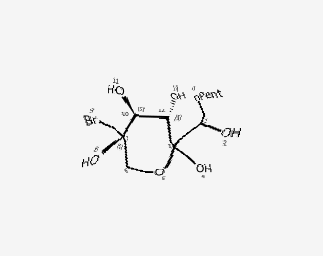 CCCCCC(O)C1(O)OC[C@](O)(Br)[C@@H](O)[C@@H]1O